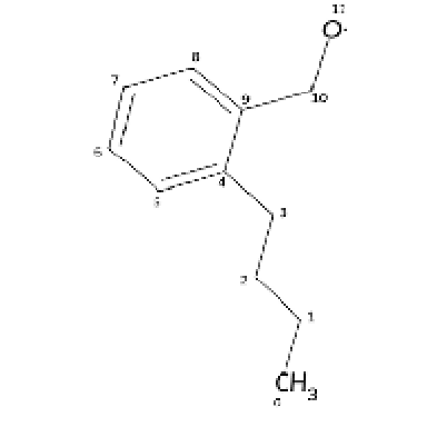 CCCCc1ccccc1C[O]